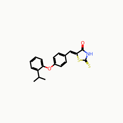 CC(C)c1ccccc1Oc1ccc(/C=C2\SC(=S)NC2=O)cc1